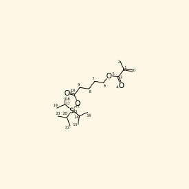 C=C(C)C(=O)OCCCCC(=O)O[Si](C(C)C)(C(C)C)C(C)C